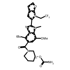 COc1cc(C(=O)N2CCC[C@@H](OC(N)=O)C2)c(C(C)(C)C)c2nc(-c3cc4ccoc4n3CC(F)(F)F)n(C)c12